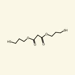 O=C(CC(=O)OCCCS)OCCCS